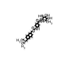 CCN(CC)Cc1ccc2cc(COC(=O)Nc3ccc(C(=O)NO[C@@H]4O[C@@H](C)[C@@H](O)[C@@H](O)[C@@H]4O)cc3)ccc2c1